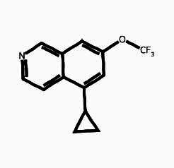 FC(F)(F)Oc1[c]c2cnccc2c(C2CC2)c1